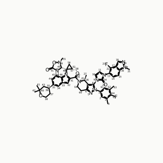 Cc1cc(-n2nc3c(c2-n2ccn(-c4ccc5c(cnn5C)c4F)c2=O)[C@H](C)N(C(=O)c2cc4cc([C@H]5CCOC(C)(C)C5)ccc4n2[C@@]2(C4NC(=O)ON4C)C[C@@H]2C)CC3)cc(C)c1F